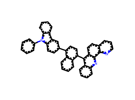 c1ccc(-n2c3ccccc3c3cc(-c4ccc(-c5c6ccccc6nc6c5ccc5cccnc56)c5ccccc45)ccc32)cc1